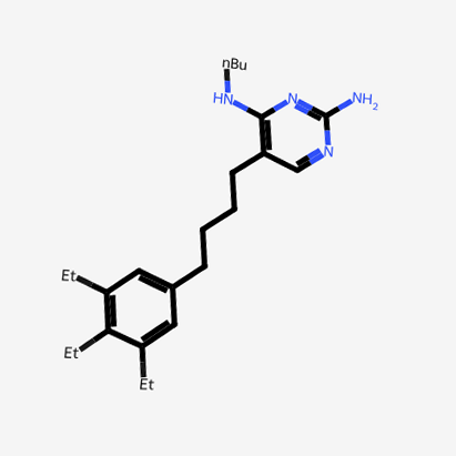 CCCCNc1nc(N)ncc1CCCCc1cc(CC)c(CC)c(CC)c1